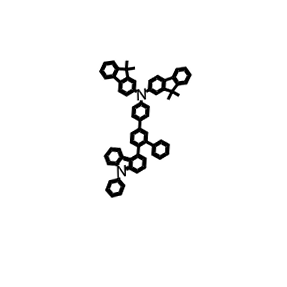 CC1(C)c2ccccc2-c2ccc(N(c3ccc(-c4ccc(-c5cccc6c5c5ccccc5n6-c5ccccc5)c(-c5ccccc5)c4)cc3)c3ccc4c(c3)C(C)(C)c3ccccc3-4)cc21